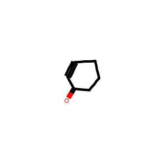 O=C1C#C[CH]CC1